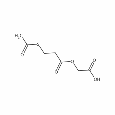 CC(=O)SCCC(=O)OCC(=O)O